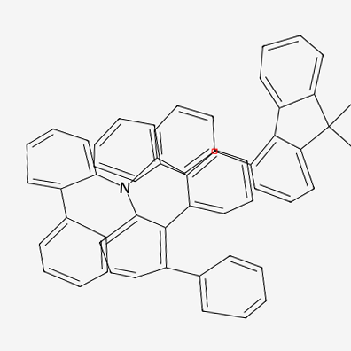 CC1(C)c2ccccc2-c2c(-c3cccc(N(c4ccccc4-c4ccccc4)c4cccc(-c5ccccc5)c4-c4ccccc4-c4ccccc4)c3)cccc21